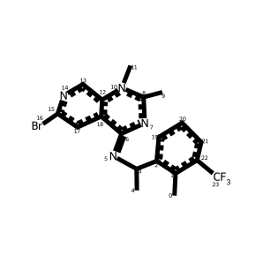 Cc1c(C(C)/N=c2\nc(C)n(C)c3cnc(Br)cc23)cccc1C(F)(F)F